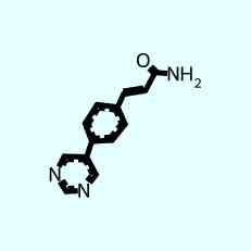 NC(=O)C=Cc1ccc(-c2cncnc2)cc1